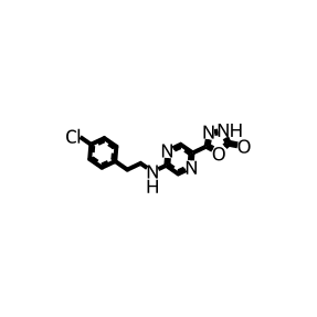 O=c1[nH]nc(-c2cnc(NCCc3ccc(Cl)cc3)cn2)o1